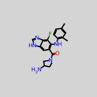 Cc1ccc(Nc2c(C(=O)N3CCC(N)C3)cc3[nH]cnc3c2F)c(C)c1